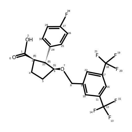 O=C(O)[C@@H]1CC[C@H](OCc2cc(C(F)(F)F)cc(C(F)(F)F)c2)[C@H]1c1ccc(F)cc1